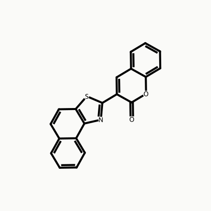 O=c1oc2ccccc2cc1-c1nc2c(ccc3ccccc32)s1